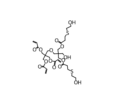 C=CC(=O)OCC(COCC(CO)(COC(=O)CCSCCO)COC(=O)CCSCCO)(COC(=O)C=C)COC(=O)C=C